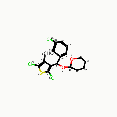 O=Cc1c(Cl)sc(Cl)c1C(OC1CCCCO1)c1cccc(Cl)c1